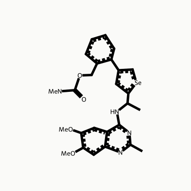 CNC(=O)OCc1ccccc1-c1c[se]c(C(C)Nc2nc(C)nc3cc(OC)c(OC)cc23)c1